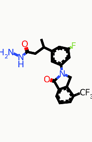 CC(CC(=O)NN)c1cc(F)cc(N2Cc3c(cccc3C(F)(F)F)C2=O)c1